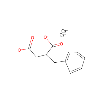 O=C([O-])CC(Cc1ccccc1)C(=O)[O-].[Cs+].[Cs+]